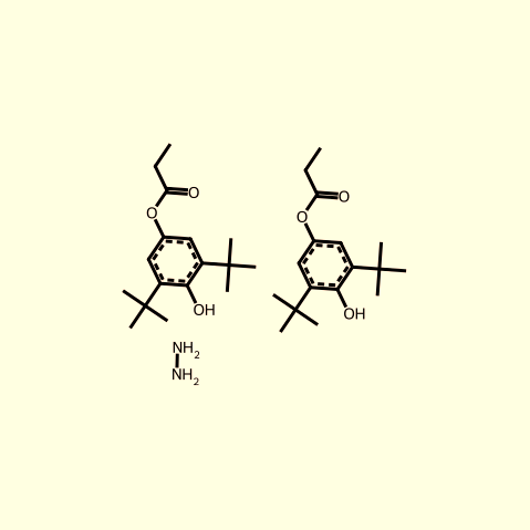 CCC(=O)Oc1cc(C(C)(C)C)c(O)c(C(C)(C)C)c1.CCC(=O)Oc1cc(C(C)(C)C)c(O)c(C(C)(C)C)c1.NN